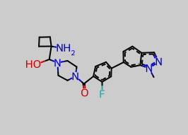 Cn1ncc2ccc(-c3ccc(C(=O)N4CCN(C(O)C5(N)CCC5)CC4)c(F)c3)cc21